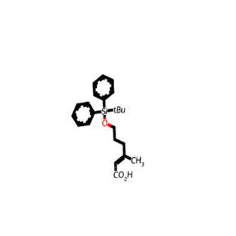 CC(=CC(=O)O)CCCO[Si](c1ccccc1)(c1ccccc1)C(C)(C)C